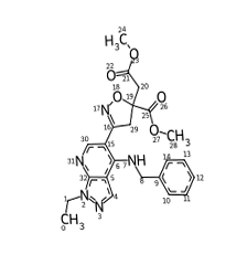 CCn1ncc2c(NCc3ccccc3)c(C3=NOC(CC(=O)OC)(C(=O)OC)C3)cnc21